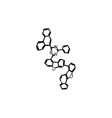 c1ccc(-c2nc(-c3cc4ccccc4c4ccccc34)nc(-c3cccc4oc5cc(-c6cccc7oc8c9ccccc9ccc8c67)ccc5c34)n2)cc1